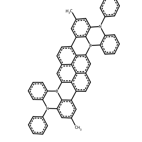 Cc1cc2c3c(c1)N(c1ccccc1)c1ccccc1B3c1cc3ccc4c5c(cc6ccc-2c1c6c35)B1c2ccccc2N(c2ccccc2)c2cc(C)cc-4c21